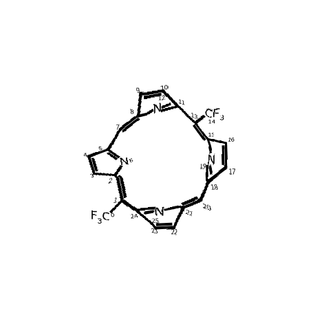 FC(F)(F)C1=C2C=CC(=N2)C=C2C=CC(=N2)C(C(F)(F)F)=C2C=CC(=N2)C=C2C=CC1=N2